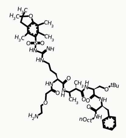 CCCCCCCCNC(=O)[C@H](Cc1ccccc1)NC(=O)[C@H](COC(C)(C)C)NC(=O)[C@@H](C)C(C)NC(=O)[C@H](CCCNC(=N)NS(=O)(=O)c1c(C)c(C)c2c(c1C)CC(C)(C)O2)NC(=O)COCCN